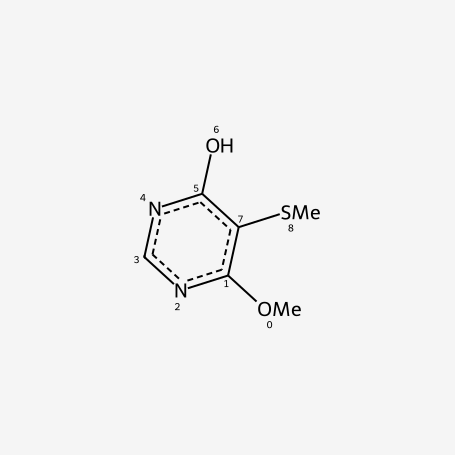 COc1ncnc(O)c1SC